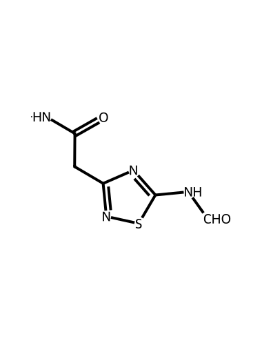 [NH]C(=O)Cc1nsc(NC=O)n1